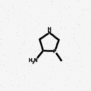 CP1CNCC1N